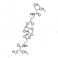 CCC(C)C(=O)NCCC(=O)O[C@H]1CO[C@H]2C1OC[C@H]2OC(=O)CCNC(=O)C(C)C